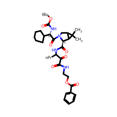 CCCC(NC(=O)[C@@H]1C2C(CN1C(=O)[C@@H](NC(=O)OC(C)(C)C)C1CCCCC1)C2(C)C)C(=O)C(=O)NCCOC(=O)c1ccccc1